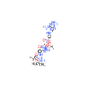 COC(=O)[C@H](CCCNC(=O)c1ccc(NC(=O)[C@H](C)NC(=O)[C@@H](N)C(C)C)cc1-c1nn[nH]n1)N(C=O)C(=O)c1ccc(NCc2cnc3nc(N)nc(N)c3n2)cc1